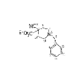 CCOC(=O)C1(C#N)CCN(Cc2ccccc2)CC1